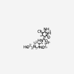 Nc1[nH]c(=O)c(C(=O)NCC2CCN(CCO)CC2)cc1Cl.OCCI